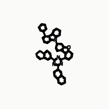 C1=Cc2cc(-c3nc(-c4ccc5ccccc5c4)nc(-c4cccc5oc6cc(-n7c8ccccc8c8c(-c9ccccc9)cccc87)ccc6c45)n3)ccc2CC1